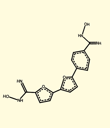 N=C(NO)c1ccc(-c2ccc(-c3ccc(C(=N)NO)o3)o2)cc1